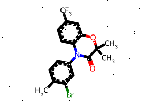 Cc1ccc(N2C(=O)C(C)(C)Oc3cc(C(F)(F)F)ccc32)cc1Br